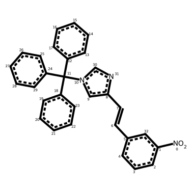 O=[N+]([O-])c1cccc(C=Cc2cn(C(c3ccccc3)(c3ccccc3)c3ccccc3)cn2)c1